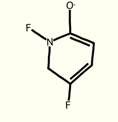 [O]C1=CC=C(F)CN1F